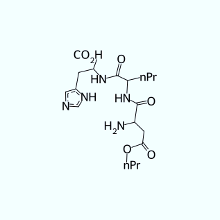 CCCOC(=O)CC(N)C(=O)NC(CCC)C(=O)NC(Cc1cnc[nH]1)C(=O)O